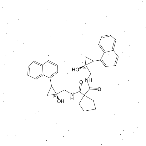 O=C(NC[C@]1(O)CC1c1cccc2ccccc12)C1(C(=O)NC[C@]2(O)CC2c2cccc3ccccc23)CCCC1